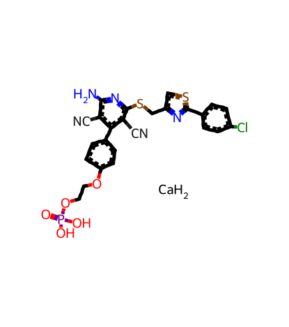 N#Cc1c(N)nc(SCc2csc(-c3ccc(Cl)cc3)n2)c(C#N)c1-c1ccc(OCCOP(=O)(O)O)cc1.[CaH2]